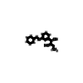 NCC(O)[C@@H](O)C1=CC(OCC2CCCCC2)=CCC1